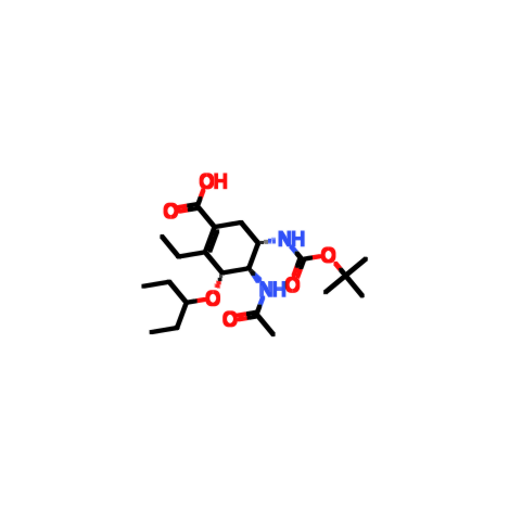 CCC1=C(C(=O)O)C[C@H](NC(=O)OC(C)(C)C)[C@@H](NC(C)=O)[C@@H]1OC(CC)CC